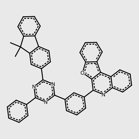 CC1(C)c2ccccc2-c2ccc(-c3nc(-c4ccccc4)nc(-c4cccc(-c5nc6ccccc6c6c5oc5ccccc56)c4)n3)cc21